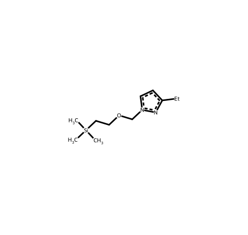 CCc1ccn(COCC[Si](C)(C)C)n1